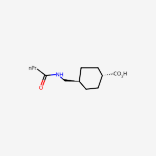 CCCC(=O)NC[C@H]1CC[C@H](C(=O)O)CC1